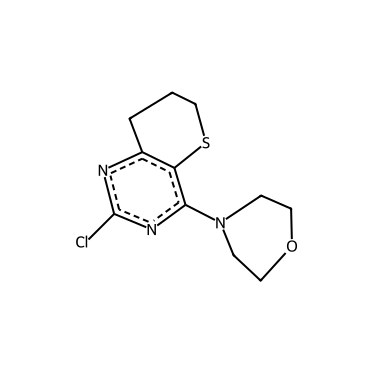 Clc1nc2c(c(N3CCOCC3)n1)SCCC2